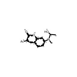 CC(=O)c1cc2ccc(N(C)C(C)O)cc2oc1=O